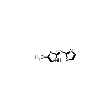 Cc1c[nH]/c(=N\c2nccs2)s1